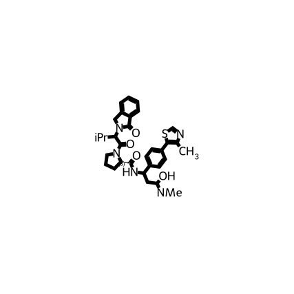 CNC(O)CC(NC(=O)[C@@H]1CCCN1C(=O)C(C(C)C)N1Cc2ccccc2C1=O)c1ccc(-c2scnc2C)cc1